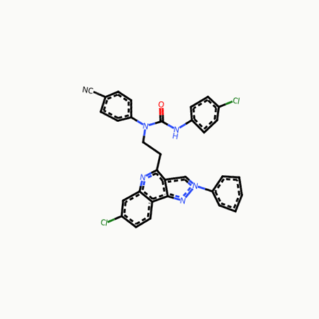 N#Cc1ccc(N(CCc2nc3cc(Cl)ccc3c3nn(-c4ccccc4)cc23)C(=O)Nc2ccc(Cl)cc2)cc1